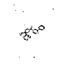 N#CC1(c2cccnc2)CCN(C(=O)N2C=COC(C3=CC=CCC3)=C2)C1